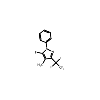 Cc1c(C(F)(F)C(F)(F)F)nn(-c2ccccc2)c1F